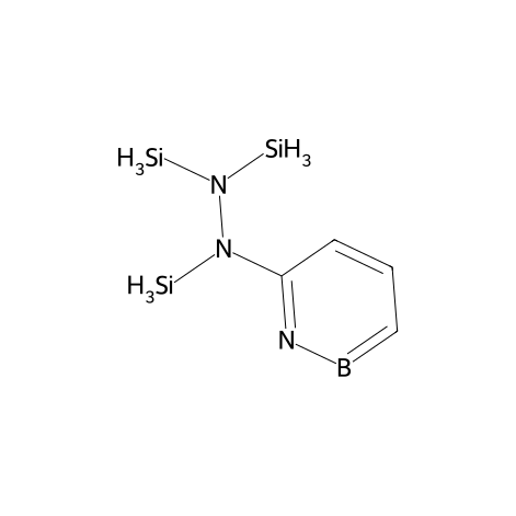 [SiH3]N([SiH3])N([SiH3])c1cccbn1